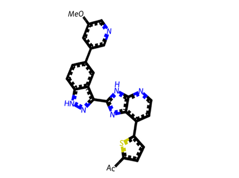 COc1cncc(-c2ccc3[nH]nc(-c4nc5c(-c6ccc(C(C)=O)s6)ccnc5[nH]4)c3c2)c1